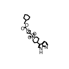 O=C(OCC1CCCCC1)N1CC(S(=O)(=O)N2CCC(c3c[nH]c4ncccc34)CC2)C1